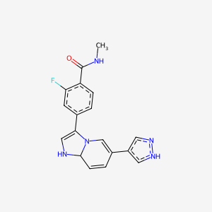 CNC(=O)c1ccc(C2=CNC3C=CC(c4cn[nH]c4)=CN23)cc1F